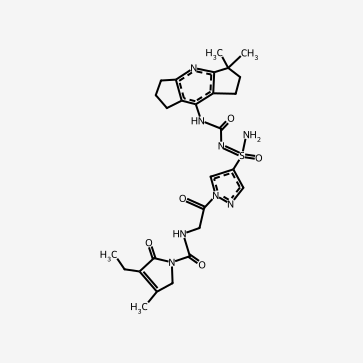 CCC1=C(C)CN(C(=O)NCC(=O)n2cc(S(N)(=O)=NC(=O)Nc3c4c(nc5c3CCC5(C)C)CCC4)cn2)C1=O